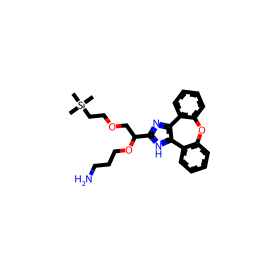 C[Si](C)(C)CCOCC(OCCCN)c1nc2c([nH]1)-c1ccccc1Oc1ccccc1-2